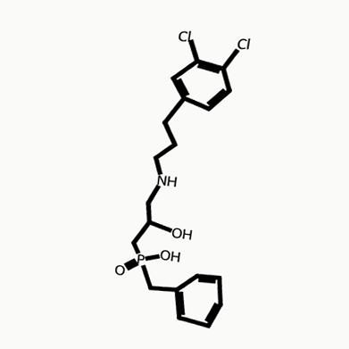 O=P(O)(Cc1ccccc1)CC(O)CNCCCc1ccc(Cl)c(Cl)c1